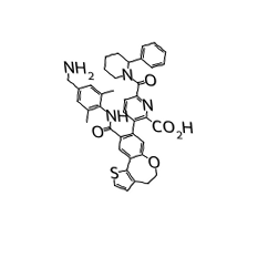 Cc1cc(CN)cc(C)c1NC(=O)c1cc2c(cc1-c1ccc(C(=O)N3CCCCC3c3ccccc3)nc1C(=O)O)OCCc1ccsc1-2